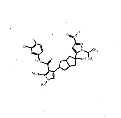 CC(C)n1nc([N+](=O)[O-])cc1C1(O)CC2CC(c3nn(C)c(N)c3C(=O)Nc3ccc(F)c(Cl)c3)CC2C1